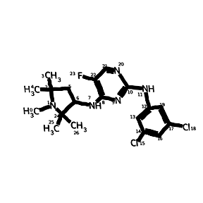 CN1C(C)(C)CC(Nc2nc(Nc3cc(Cl)cc(Cl)c3)ncc2F)C1(C)C